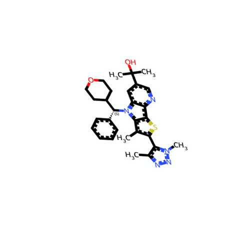 Cc1nnn(C)c1-c1sc2c3ncc(C(C)(C)O)cc3n([C@H](c3ccccc3)C3CCOCC3)c2c1C